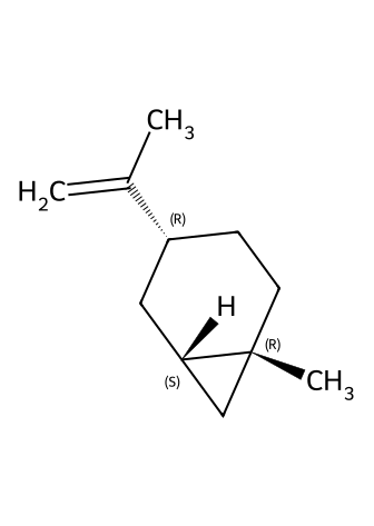 C=C(C)[C@@H]1CC[C@]2(C)C[C@@H]2C1